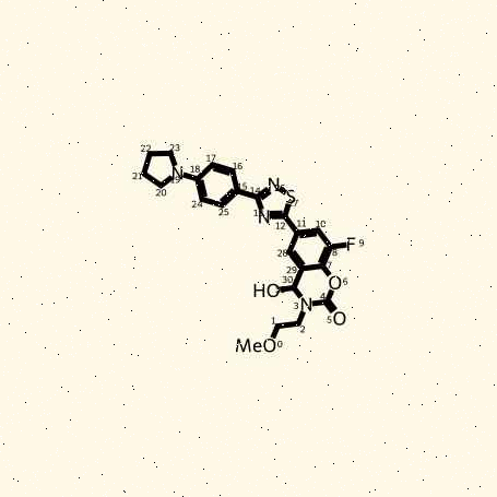 COCCN1C(=O)Oc2c(F)cc(-c3nc(-c4ccc(N5CCCC5)cc4)ns3)cc2C1O